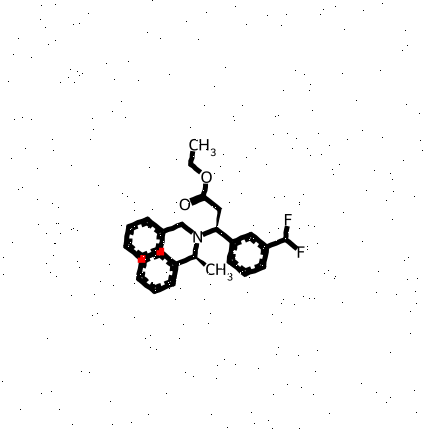 CCOC(=O)C[C@@H](c1cccc(C(F)F)c1)N(Cc1ccccc1)[C@@H](C)c1ccccc1